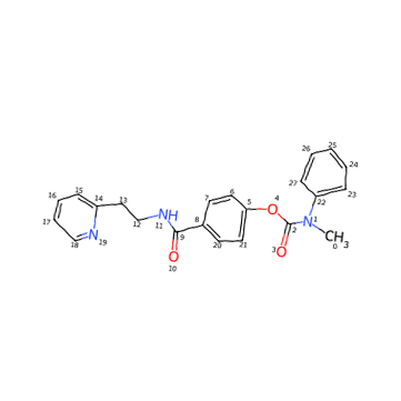 CN(C(=O)Oc1ccc(C(=O)NCCc2ccccn2)cc1)c1ccccc1